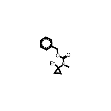 CCC1(N(C)C(=O)OCc2ccccc2)CC1